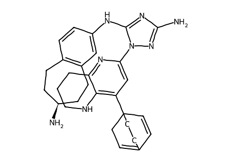 Nc1nc(Nc2ccc3c(c2)CC[C@@H](N)CC3)n(-c2cc(C34C=CC(=CC3)CC4)c3c(n2)CCCN3)n1